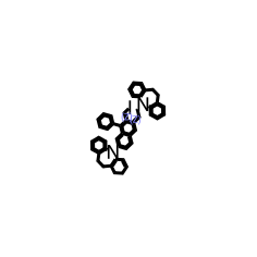 I/C=c1/c(-c2ccccc2)c2cc(N3C4=C(CCC=C4)CCc4ccccc43)ccc2c/c1=C/CN1c2ccccc2CCc2ccccc21